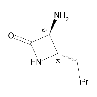 CC(C)C[C@@H]1NC(=O)[C@H]1N